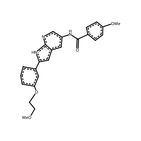 COCCOc1cccc(-c2cc3cc(NC(=O)c4ccc(OC)cc4)cnc3[nH]2)c1